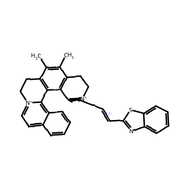 Cc1c(C)c2c(c3c1CC[n+]1ccc4ccccc4c1-3)-c1cccc(/C=C/c3nc4ccccc4s3)[n+]1CC2